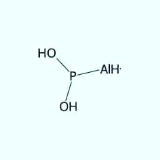 O[P](O)[AlH]